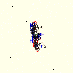 COc1cc(CN2CCN(C3CC4(CCN(c5ncc(C(=O)NS(=O)(=O)c6cc([N+](=O)[O-])c7c(n6)OC[C@@H](C6CCOCC6)N7)c(N6CCOc7nc8[nH]ccc8cc76)c5F)CC4)C3)[C@H](c3ccccc3OC(C)C)C2)cnc1N1CCOCC1